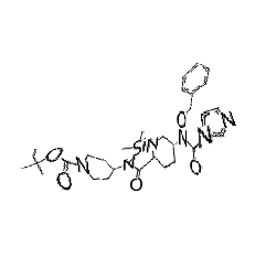 CC(C)(C)OC(=O)N1CCC(N2C(=O)C3CC[C@@H](N(OCc4ccccc4)C(=O)n4ccnc4)CN3[Si]2(C)C)CC1